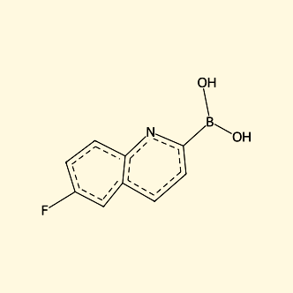 OB(O)c1ccc2cc(F)ccc2n1